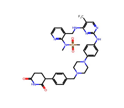 CN(c1ncccc1CNc1nc(Nc2ccc(N3CCN(Cc4ccc(C5CCC(=O)NC5=O)cc4)CC3)cc2)ncc1C(F)(F)F)S(C)(=O)=O